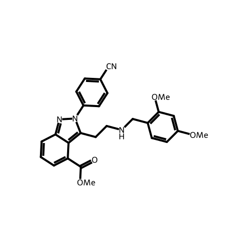 COC(=O)c1cccc2nn(-c3ccc(C#N)cc3)c(CCNCc3ccc(OC)cc3OC)c12